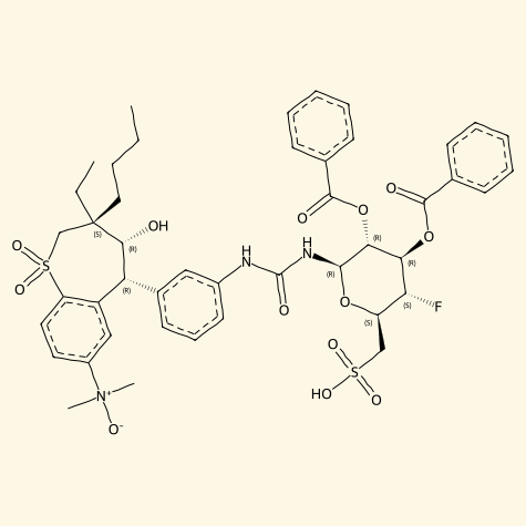 CCCC[C@]1(CC)CS(=O)(=O)c2ccc([N+](C)(C)[O-])cc2[C@@H](c2cccc(NC(=O)N[C@@H]3O[C@H](CS(=O)(=O)O)[C@@H](F)[C@H](OC(=O)c4ccccc4)[C@H]3OC(=O)c3ccccc3)c2)[C@H]1O